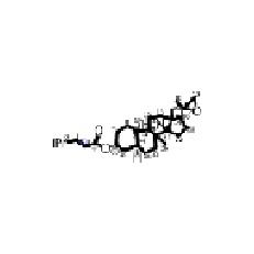 CC(C)/C=C/C(=O)O[C@@H]1CC[C@]2(C)C3CCC4(C)[C@@H](C5(C)CO5)CC[C@@]4(N)C3(C)CC[C@H]2C1